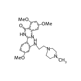 COc1ccc(-c2nc3cc(OC)cc(OC)c3c(=O)[nH]2)c(NCCN2CCN(C)CC2)c1